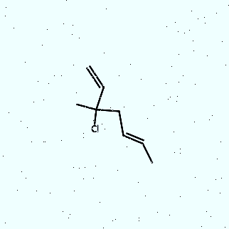 C=CC(C)(Cl)CC=CC